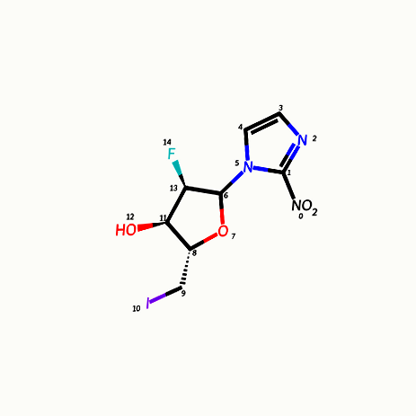 O=[N+]([O-])c1nccn1C1O[C@H](CI)[C@@H](O)[C@H]1F